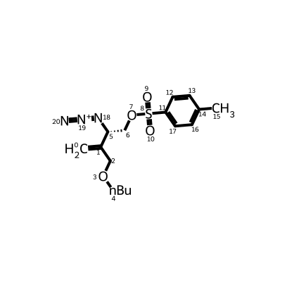 C=C(COCCCC)[C@@H](COS(=O)(=O)c1ccc(C)cc1)N=[N+]=[N-]